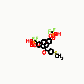 CSc1ccc(C(=O)C(Cc2ccc(OP(=O)(O)C(F)F)cc2)(Cc2ccc(C(F)(F)P(=O)(O)O)cc2)c2ccccc2)cc1